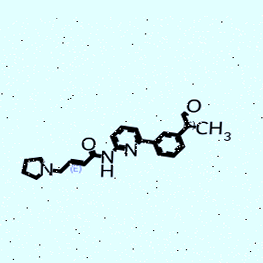 C[C@H](C=O)c1cccc(-c2cccc(NC(=O)/C=C/CN3CCCC3)n2)c1